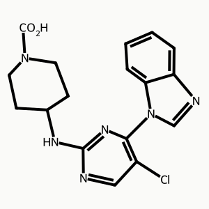 O=C(O)N1CCC(Nc2ncc(Cl)c(-n3cnc4ccccc43)n2)CC1